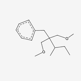 CCC(C)C(COC)(COC)Cc1ccccc1